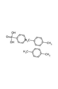 Cc1ccc(C)cc1.Cc1ccc(C)cc1.O=P(O)(O)c1ccccc1